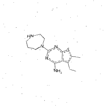 CCc1c(C)sc2nc(N3CCCNCC3)nc(N)c12